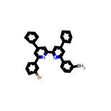 Bc1cccc(-c2cc(-c3ccccc3)cc(-c3cc(-c4ccccc4)cc(-c4cccc(Br)c4)n3)n2)c1